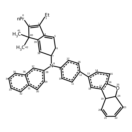 CCCC1=C(CC)C2=CCC(N(c3ccc(-c4ccc5c(c4)C4C=CC=CC4O5)cc3)c3ccc4ccccc4c3)C=C2C1(C)C